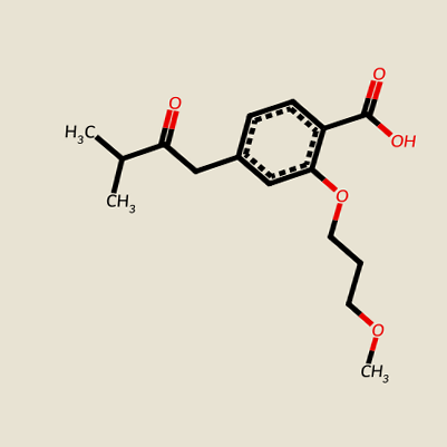 COCCCOc1cc(CC(=O)C(C)C)ccc1C(=O)O